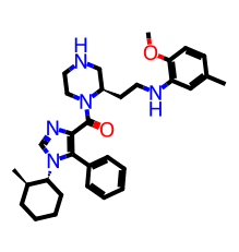 COc1ccc(C)cc1NCC[C@@H]1CNCCN1C(=O)c1ncn([C@@H]2CCCC[C@H]2C)c1-c1ccccc1